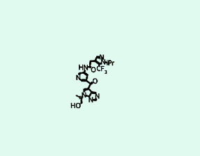 CC(C)n1ncc(CC(=O)Nc2cncc(C(=O)c3cn([C@H](C)CO)c4ncncc34)c2)c1C(F)(F)F